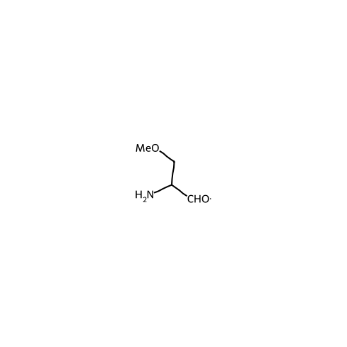 COCC(N)[C]=O